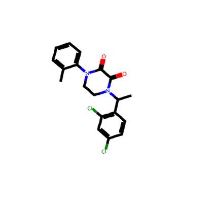 Cc1ccccc1N1CCN(C(C)c2ccc(Cl)cc2Cl)C(=O)C1=O